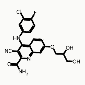 N#Cc1c(C(N)=O)nc2cc(OCC(O)CO)[c]cc2c1Nc1ccc(F)c(Cl)c1